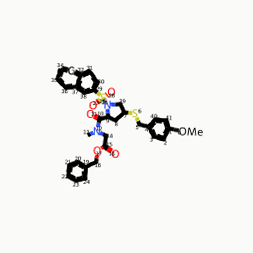 COc1ccc(CSC2CC(C(=O)N(C)CC(=O)OCc3ccccc3)N(S(=O)(=O)c3ccc4ccccc4c3)C2)cc1